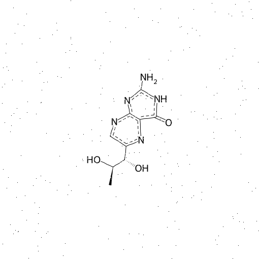 C[C@@H](O)[C@@H](O)c1cnc2nc(N)[nH]c(=O)c2n1